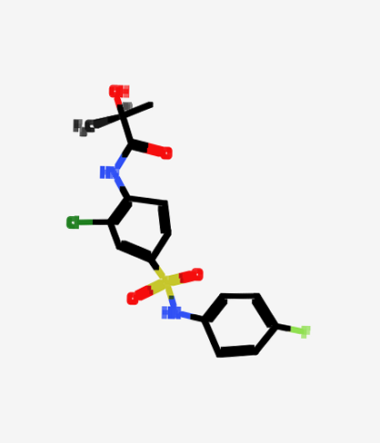 C[C@@](O)(C(=O)Nc1ccc(S(=O)(=O)Nc2ccc(F)cc2)cc1Cl)C(F)(F)F